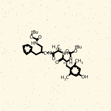 Cc1cc(O)cc(C)c1C[C@H](NC(=O)OC(C)(C)C)C(=O)N[C@H](C)C(=O)NCC(CNC(=O)OC(C)(C)C)Cc1ccccc1